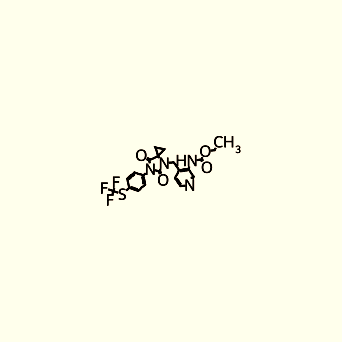 CCOC(=O)Nc1cnccc1CN1C(=O)N(c2ccc(SC(F)(F)F)cc2)C(=O)C12CC2